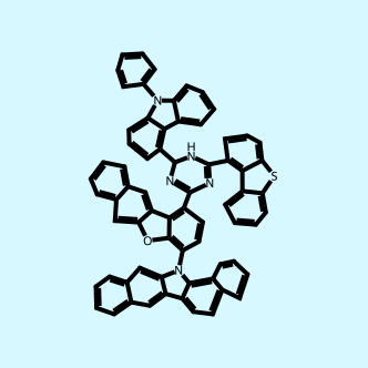 c1ccc(-n2c3ccccc3c3c(C4N=C(c5ccc(-n6c7cc8ccccc8cc7c7ccc8ccccc8c76)c6oc7cc8ccccc8cc7c56)N=C(c5cccc6sc7ccccc7c56)N4)cccc32)cc1